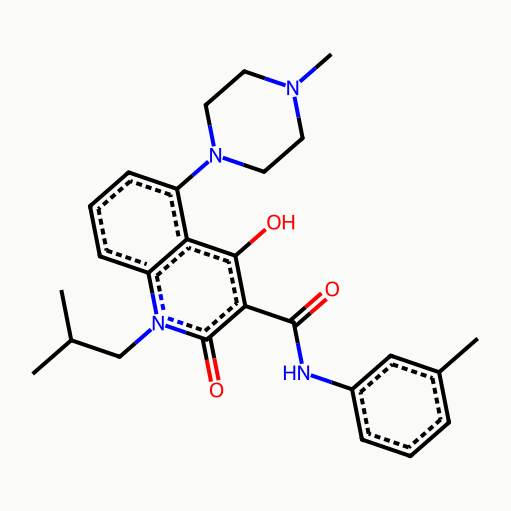 Cc1cccc(NC(=O)c2c(O)c3c(N4CCN(C)CC4)cccc3n(CC(C)C)c2=O)c1